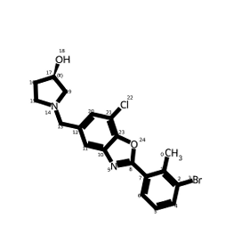 Cc1c(Br)cccc1-c1nc2cc(CN3CC[C@@H](O)C3)cc(Cl)c2o1